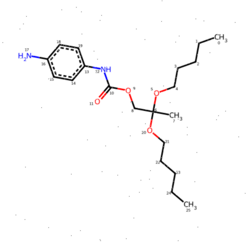 CCCCCOC(C)(COC(=O)Nc1ccc(N)cc1)OCCCCC